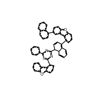 C1=CC2=C(c3cccc4oc5ccc(-c6cccc7ccccc67)cc5c34)C=CC(c3nc(-c4ccccc4)nc(-c4cccc5oc6ccccc6c45)n3)C2C=C1